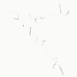 C=CC(=O)OCCOC(=O)NCCCC[C@H](NC(=O)OCCOC(=O)C=C)C(=O)OC(C)(C)C